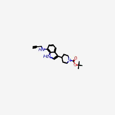 C#CCNc1cccc2c(C3CCN(C(=O)OC(C)(C)C)CC3)c[nH]c12